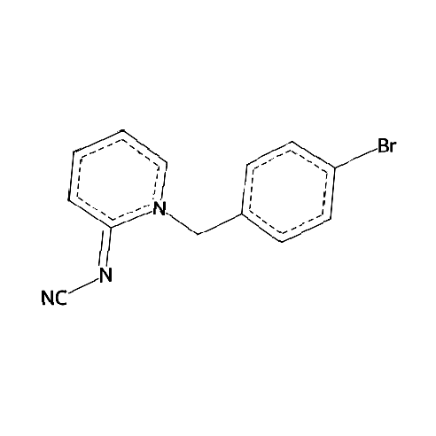 N#CN=c1ccccn1Cc1ccc(Br)cc1